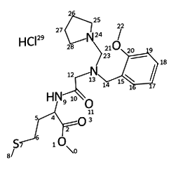 COC(=O)C(CCSC)NC(=O)CN(Cc1ccccc1OC)CN1CCCC1.Cl